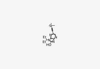 CCC(CC)n1c(O)nc2ncc(C#C[Si](C)(C)C)nc21